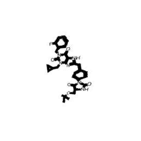 CC(C)(C)OCC1NC(=O)N(c2ccc(Cc3nc4c([nH]3)c(=O)n(Cc3ccccc3F)c(=O)n4CC3CC3)cc2)C1=O